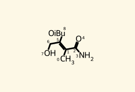 CC(C(N)=O)=C(CO)OCC(C)C